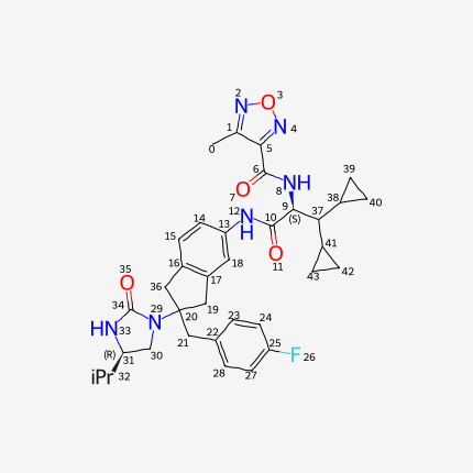 Cc1nonc1C(=O)N[C@H](C(=O)Nc1ccc2c(c1)CC(Cc1ccc(F)cc1)(N1C[C@@H](C(C)C)NC1=O)C2)C(C1CC1)C1CC1